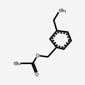 CC(C)(C)Cc1cccc(COC(=O)C(C)(C)C)c1